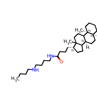 CCCCNCCCCNC(=O)CCC[C@H]1CCC2[C@@H]3CC[C@@H]4CCCC[C@]4(C)C3CCC21C